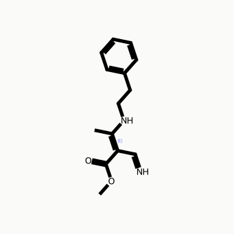 COC(=O)/C(C=N)=C(\C)NCCc1ccccc1